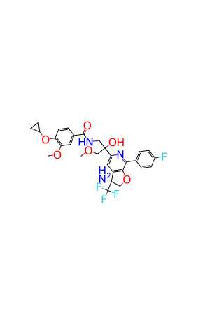 COCC(O)(CNC(=O)c1ccc(OC2CC2)c(OC)c1)c1cc2c(c(-c3ccc(F)cc3)n1)OC[C@@]2(N)C(F)(F)F